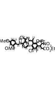 CCOC(=O)CC(C[N+](=O)[O-])c1c(F)c(Cl)cc(C(C)c2nc(Cl)c3c(NCc4ccc(OC)cc4OC)nccn23)c1OC(C)C